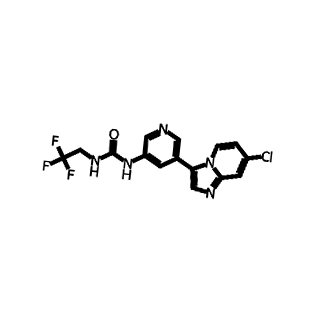 O=C(NCC(F)(F)F)Nc1cncc(-c2cnc3cc(Cl)ccn23)c1